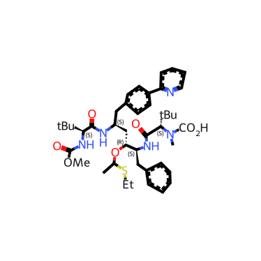 CCSC(C)O[C@H](C[C@H](Cc1ccc(-c2ccccn2)cc1)NC(=O)[C@@H](NC(=O)OC)C(C)(C)C)[C@H](Cc1ccccc1)NC(=O)[C@@H](N(C)C(=O)O)C(C)(C)C